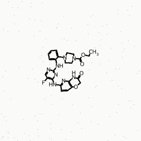 CCOC(=O)N1CCN(c2ccccc2Nc2ncc(F)c(Nc3ccc4c(n3)NC(=O)CO4)n2)CC1